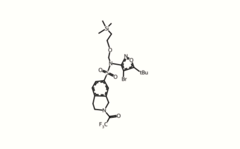 CC(C)(C)c1onc(N(COCC[Si](C)(C)C)S(=O)(=O)c2ccc3c(c2)CN(C(=O)C(F)(F)F)CC3)c1Br